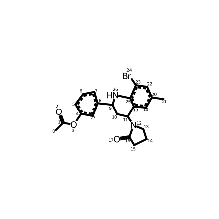 CC(=O)Oc1cccc(C2CC(N3CCCC3=O)c3cc(C)cc(Br)c3N2)c1